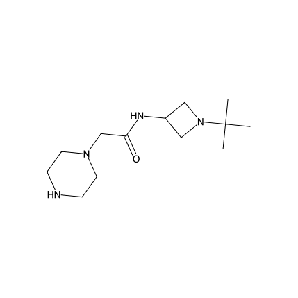 CC(C)(C)N1CC(NC(=O)CN2CCNCC2)C1